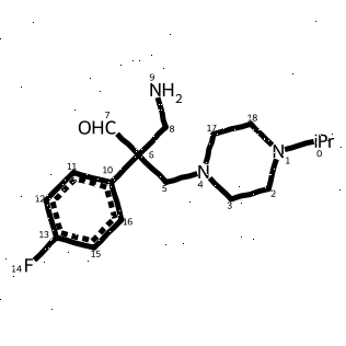 CC(C)N1CCN(CC(C=O)(CN)c2ccc(F)cc2)CC1